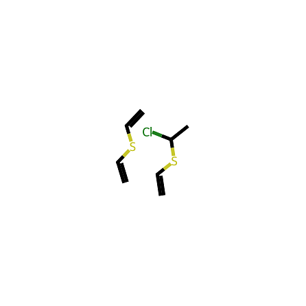 C=CSC(C)Cl.C=CSC=C